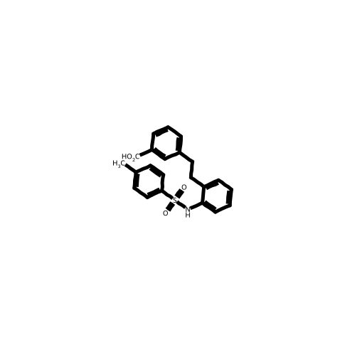 Cc1ccc(S(=O)(=O)Nc2ccccc2CCc2cccc(C(=O)O)c2)cc1